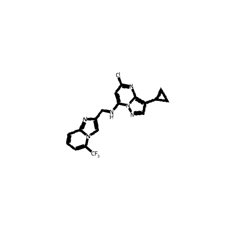 FC(F)(F)c1cccc2nc(CNc3cc(Cl)nc4c(C5CC5)cnn34)cn12